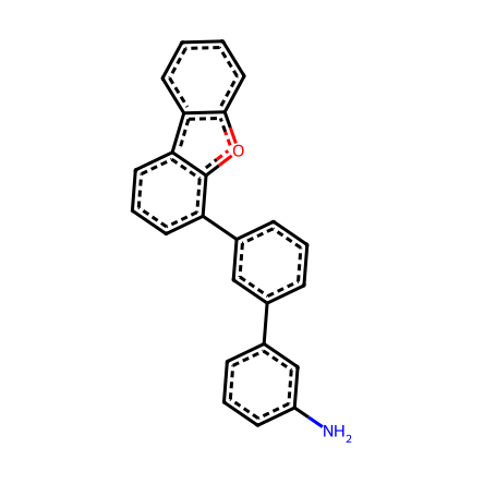 Nc1cccc(-c2cccc(-c3cccc4c3oc3ccccc34)c2)c1